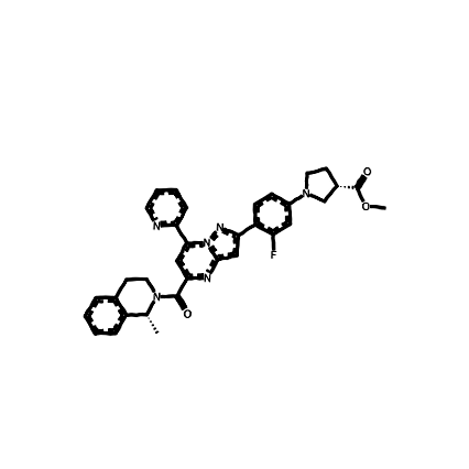 COC(=O)[C@H]1CCN(c2ccc(-c3cc4nc(C(=O)N5CCc6ccccc6[C@H]5C)cc(-c5ccccn5)n4n3)c(F)c2)C1